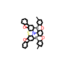 Cc1ccc2c(c1)B1c3cc4c(oc5ccccc54)c4c3N3c5c1c(cc1c5B(c5cc(C)ccc5O1)c1cc5c(oc6ccccc65)c(c13)S4)O2